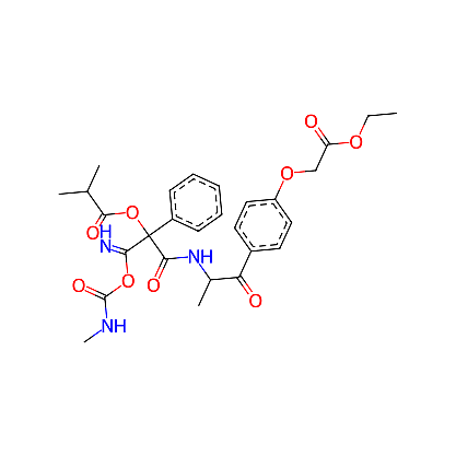 CCOC(=O)COc1ccc(C(=O)C(C)NC(=O)C(OC(=O)C(C)C)(C(=N)OC(=O)NC)c2ccccc2)cc1